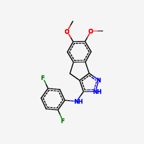 COc1cc2c(cc1OC)-c1n[nH]c(Nc3cc(F)ccc3F)c1C2